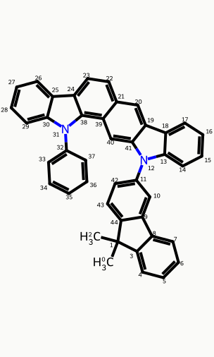 CC1(C)c2ccccc2-c2cc(-n3c4ccccc4c4cc5ccc6c7ccccc7n(-c7ccccc7)c6c5cc43)ccc21